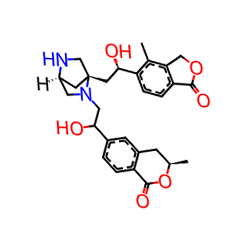 Cc1c([C@H](O)C[C@@]23CN[C@H](CN2CC(O)c2ccc4c(c2)C[C@@H](C)OC4=O)C3)ccc2c1COC2=O